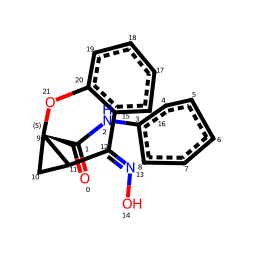 O=C(Nc1ccccc1)[C@]12CC1C(=NO)c1ccccc1O2